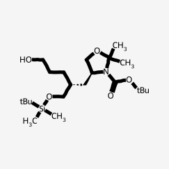 CC(C)(C)OC(=O)N1[C@@H](C[C@@H](CCCO)CO[Si](C)(C)C(C)(C)C)COC1(C)C